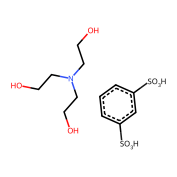 O=S(=O)(O)c1cccc(S(=O)(=O)O)c1.OCCN(CCO)CCO